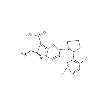 CCc1nn2ccc(N3CCCC3c3cc(F)ccc3F)cc2c1C(=O)O